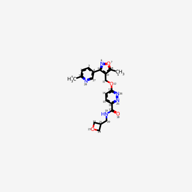 Cc1ccc(-c2noc(C)c2COc2ccc(C(=O)NCC3COC3)nn2)cn1